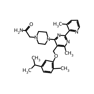 Cc1ccc(C(C)C)cc1OCc1c(C)nc(-c2ncccc2C)nc1N1CCN(CC(N)=O)CC1